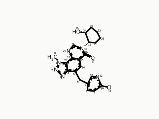 Cn1nnc2c(Cc3ccc(Cl)nc3)cc3c(=O)n([C@H]4CCCC[C@@H]4O)cnc3c21